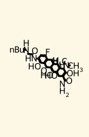 CCCCNCC(=O)Nc1cc(F)c2c(c1O)C(=O)C1=C(O)[C@]3(O)CC(C(N)=O)=C(O)[C@@H](N(C)C)[C@@H]3C[C@@H]1C2